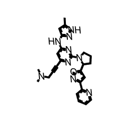 Cc1cc(Nc2cc(C#CCN(C)C)nc(N3CCCC3c3cc(-c4ccccn4)no3)n2)n[nH]1